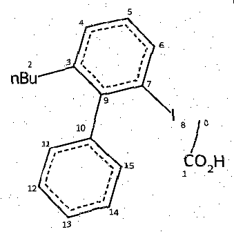 CC(=O)O.CCCCc1cccc(I)c1-c1ccccc1